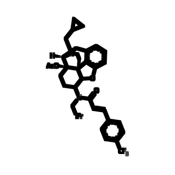 CC(=O)O[C@@]12CCC(N(CC(C)C)C(=O)/C=C/c3ccc(C(F)(F)F)cc3)C3Oc4cccc5c4[C@@]31CCN(CC1CC1)[C@@H]2C5